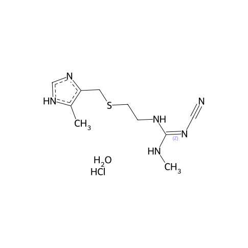 CN/C(=N/C#N)NCCSCc1nc[nH]c1C.Cl.O